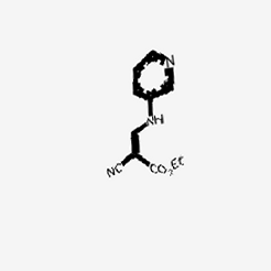 CCOC(=O)/C(C#N)=C\Nc1cccnc1